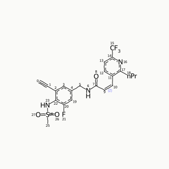 C#Cc1cc(CNC(=O)/C=C\c2ccc(C(F)(F)F)nc2CCC)cc(F)c1NS(C)(=O)=O